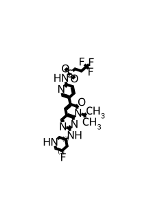 CC(C)n1c(=O)c(-c2ccc(NS(=O)(=O)CCC(F)(F)F)nc2)cc2cnc(N[C@@H]3CNC[C@@H](F)C3)nc21